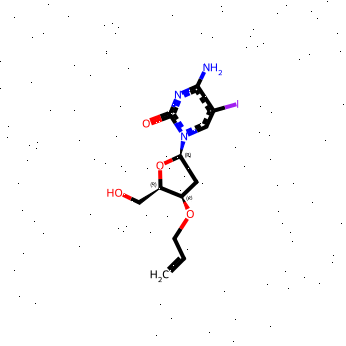 C=CCO[C@@H]1C[C@H](n2cc(I)c(N)nc2=O)O[C@@H]1CO